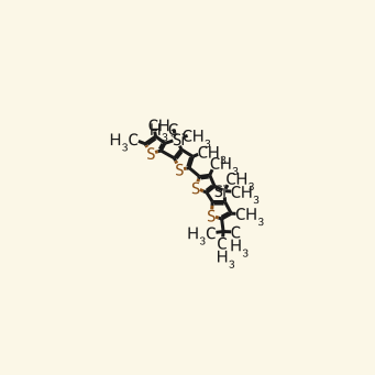 Cc1sc2c(c1C)[Si](C)(C)c1c-2sc(-c2sc3c(c2C)[Si](C)(C)c2c-3sc(C(C)(C)C)c2C)c1C